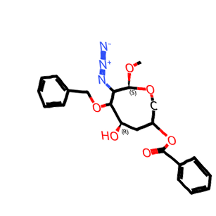 CO[C@H]1OCC(OC(=O)c2ccccc2)C[C@@H](O)C(OCc2ccccc2)C1N=[N+]=[N-]